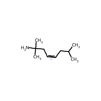 CC(C)C/C=C\CC(C)(C)N